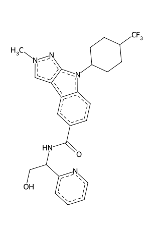 Cn1cc2c3cc(C(=O)NC(CO)c4ccccn4)ccc3n(C3CCC(C(F)(F)F)CC3)c2n1